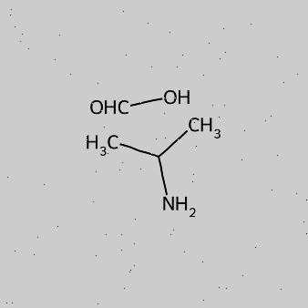 CC(C)N.O=CO